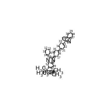 CC(C)(C)c1cc2nc(-c3ccccc3)c(-c3ccc(-c4ccc(-c5nc6ccccc6o5)cc4)cc3)nc2cc1C(C)(C)C